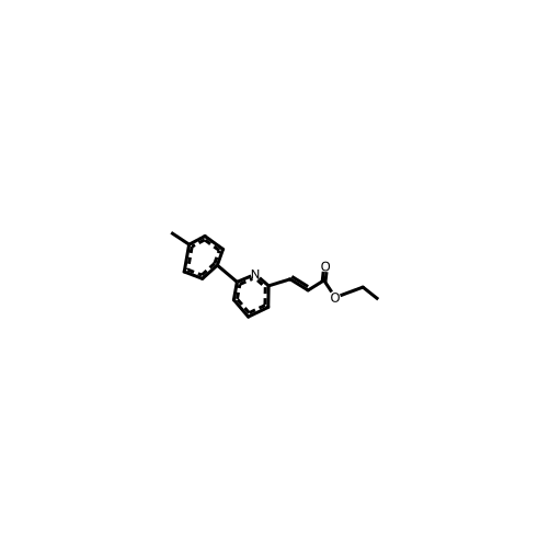 CCOC(=O)C=Cc1cccc(-c2ccc(C)cc2)n1